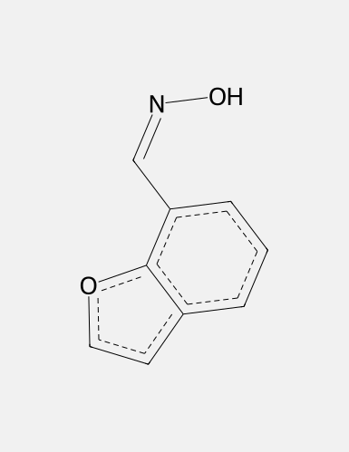 O/N=C\c1cccc2ccoc12